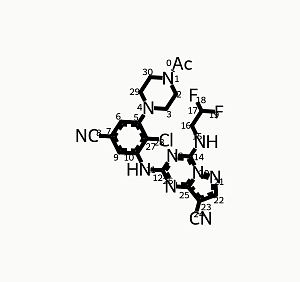 CC(=O)N1CCN(c2cc(C#N)cc(Nc3nc(NCC(F)F)n4ncc(C#N)c4n3)c2Cl)CC1